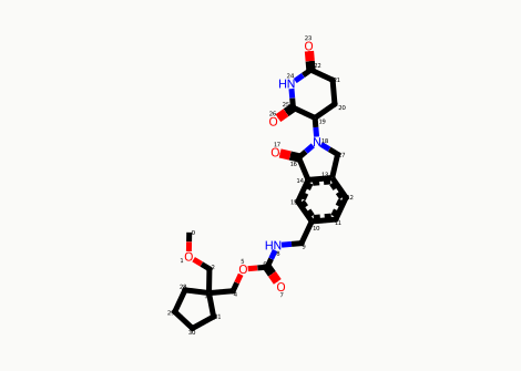 COCC1(COC(=O)NCc2ccc3c(c2)C(=O)N(C2CCC(=O)NC2=O)C3)CCCC1